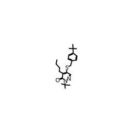 CCCCc1c(SCc2ccc(C(C)(C)C)cc2)cnn(C(C)(C)C)c1=O